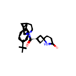 CC(C)(C)c1ccc(C23CCN(C(=O)[C@H]4C[C@]5(CCC(=O)N5)C4)CC2C3)cc1